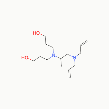 C=CCN(CC=C)CC(C)N(CCCO)CCCO